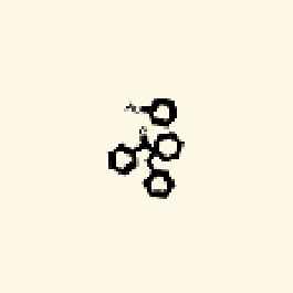 CC(=O)c1ccccc1.O=C(c1ccccc1)C1(Cc2ccccc2)CCCCC1